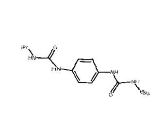 CC(C)NC(=O)Nc1ccc(NC(=O)NC(C)(C)C)cc1